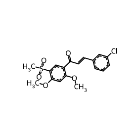 COc1cc(OC)c(S(C)(=O)=O)cc1C(=O)/C=C/c1cccc(Cl)c1